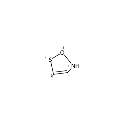 [C]1=CNOS1